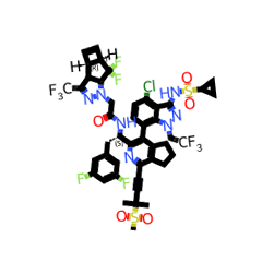 CC(C)(C#Cc1nc([C@H](Cc2cc(F)cc(F)c2)NC(=O)CN2N=C(C(F)(F)F)C3C2C(F)(F)[C@@H]2C=C[C@H]32)c(-c2ccc(Cl)c3c(NS(=O)(=O)C4CC4)nn(CC(F)(F)F)c23)c2c1CCC2)S(C)(=O)=O